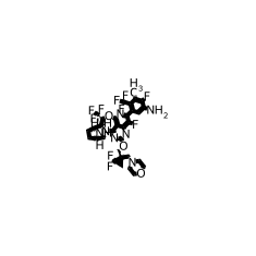 Cc1c(F)c(N)cc(-c2nc3c4c(nc(OC[C@@]5(CN6CCOCC6)CC5(F)F)nc4c2F)N2C[C@H]4CC[C@H](N4)[C@H]2[C@H](C(F)(F)F)O3)c1C(F)(F)F